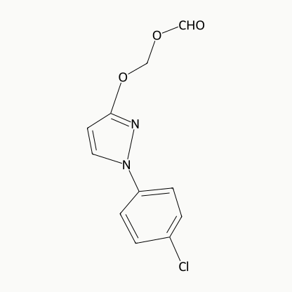 O=COCOc1ccn(-c2ccc(Cl)cc2)n1